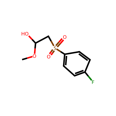 COC(O)CS(=O)(=O)c1ccc(F)cc1